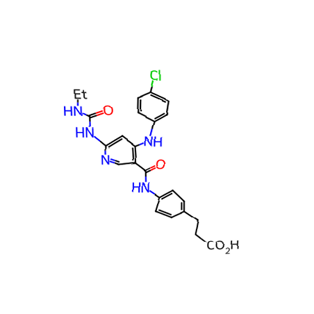 CCNC(=O)Nc1cc(Nc2ccc(Cl)cc2)c(C(=O)Nc2ccc(CCC(=O)O)cc2)cn1